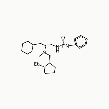 CCN1CCC[C@@H]1CN(C)[C@@H](CNC(=O)Nc1ccccc1)CC1CCCCC1